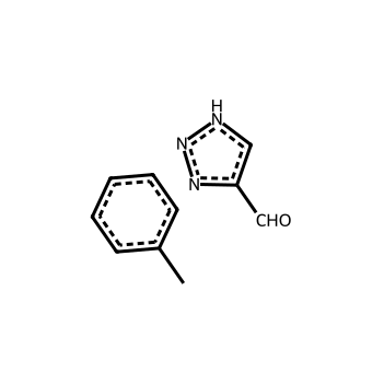 Cc1ccccc1.O=Cc1c[nH]nn1